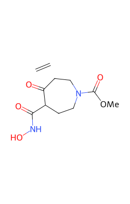 C=C.COC(=O)N1CCC(=O)C(C(=O)NO)CC1